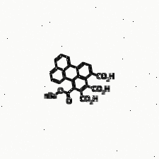 CCCCOC(=O)c1c(C(=O)O)c(C(=O)O)c2c(C(=O)O)ccc3c4cccc5cccc(c1c23)c54